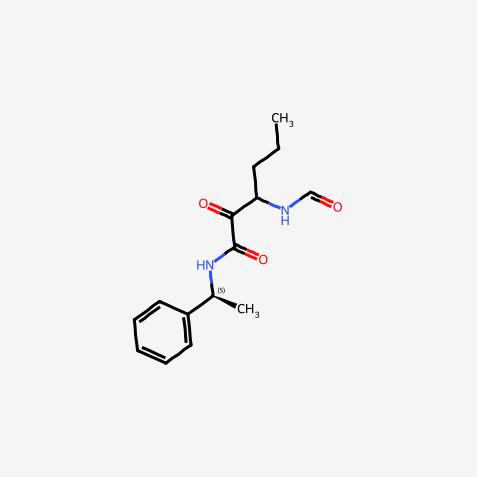 CCCC(NC=O)C(=O)C(=O)N[C@@H](C)c1ccccc1